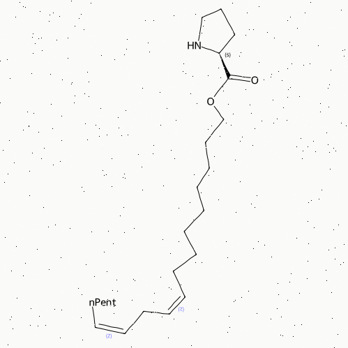 CCCCC/C=C\C/C=C\CCCCCCCCOC(=O)[C@@H]1CCCN1